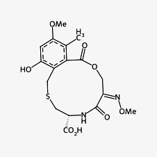 CO/N=C1/COC(=O)c2c(C)c(OC)cc(O)c2CSC[C@@H](C(=O)O)NC1=O